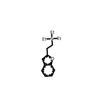 CC[Si](CC)(CC)CCc1cc2ccccc2o1